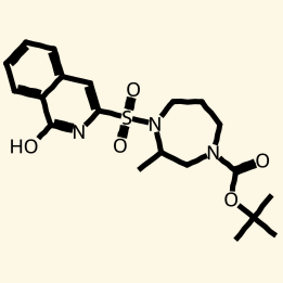 CC1CN(C(=O)OC(C)(C)C)CCCN1S(=O)(=O)c1cc2ccccc2c(O)n1